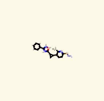 Cc1nc(SN)ccc1C1CC1c1nc(-c2ccccc2)no1